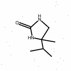 CC(C)C1(C)CNC(=O)N1